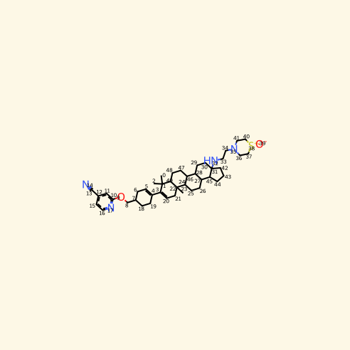 CC1(C)C(C2=CCC(COc3cc(C#N)ccn3)CC2)=CCC2(C)C3CCC4C(CCC5(NCCN6CC[S+]([O-])CC6)CCCC45)C3CCC12